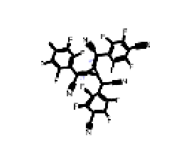 Cc1c(F)c(F)c(/C(C#N)=C2\C(=C(/C#N)c3c(F)c(F)c(C#N)c(F)c3F)C2C(C#N)c2c(F)c(F)c(C#N)c(F)c2F)c(F)c1F